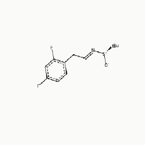 CC(C)(C)[S@@+]([O-])/N=C/Cc1ccc(F)cc1F